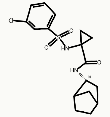 O=C(N[C@@H]1CC2CCC1C2)C1(NS(=O)(=O)c2cccc(Cl)c2)CC1